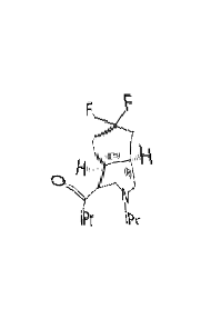 CC(C)C(=O)C1[C@H]2CC(F)(F)C[C@H]2CN1C(C)C